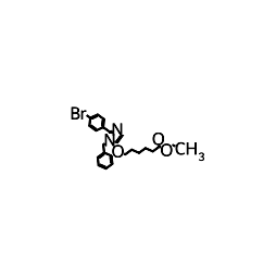 CCOC(=O)CCCCCOc1ccccc1Cn1ccnc1-c1ccc(Br)cc1